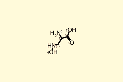 NC(CNO)C(=O)O